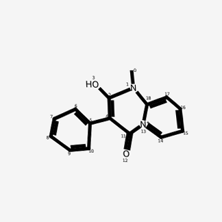 Cn1c(O)c(-c2ccccc2)c(=O)[n+]2ccccc12